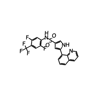 O=S(=O)(Nc1cc(F)c(C(F)(F)F)cc1F)c1c[nH]c(-c2cccc3cccnc23)c1